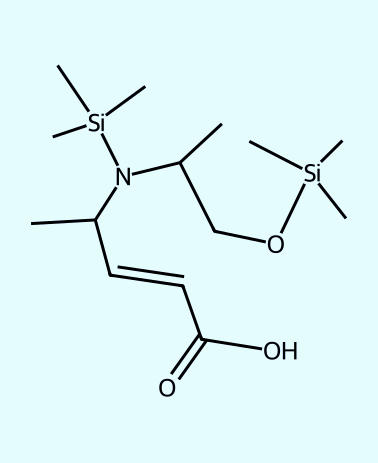 CC(C=CC(=O)O)N(C(C)CO[Si](C)(C)C)[Si](C)(C)C